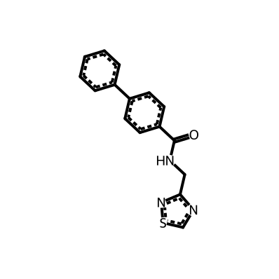 O=C(NCc1ncsn1)c1ccc(-c2ccccc2)cc1